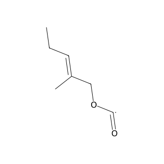 CC/C=C(\C)CO[C]=O